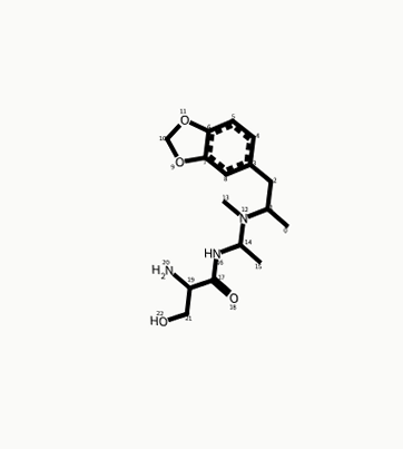 CC(Cc1ccc2c(c1)OCO2)N(C)C(C)NC(=O)C(N)CO